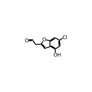 O=CCc1cc2c(O)cc(Cl)cc2o1